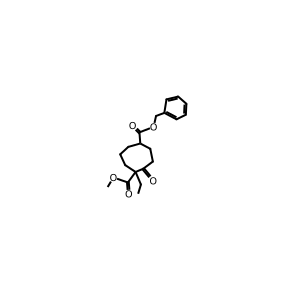 CCC1(C(=O)OC)CCCC(C(=O)OCc2ccccc2)CCC1=O